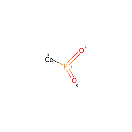 O=[P](=O)[Ce]